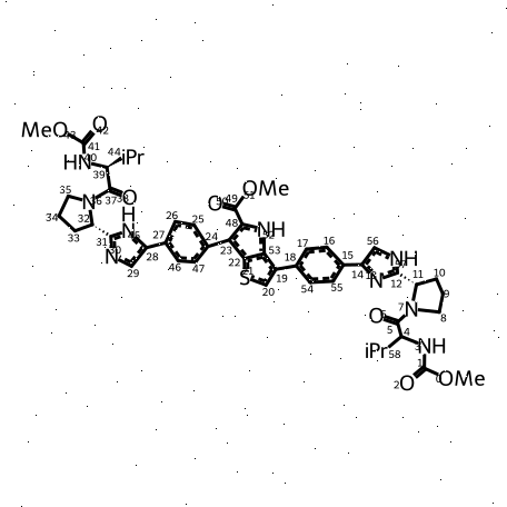 COC(=O)NC(C(=O)N1CCC[C@H]1c1nc(-c2ccc(-c3csc4c(-c5ccc(-c6cnc([C@@H]7CCCN7C(=O)[C@@H](NC(=O)OC)C(C)C)[nH]6)cc5)c(C(=O)OC)[nH]c34)cc2)c[nH]1)C(C)C